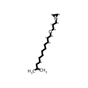 CC(C)CCCCCCCCCCOCCCN1CC1